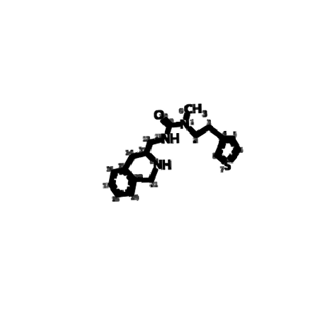 CN(CCc1ccsc1)C(=O)NCC1Cc2ccccc2CN1